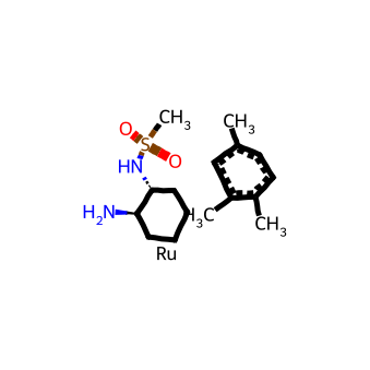 CS(=O)(=O)N[C@@H]1CCCC[C@H]1N.Cc1ccc(C)c(C)c1.[Ru]